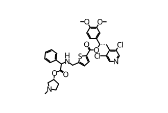 COc1ccc([C@H](Cc2c(Cl)cncc2Cl)OC(=O)c2ccc(CNC(C(=O)O[C@H]3CCN(C)C3)c3ccccc3)s2)cc1OC